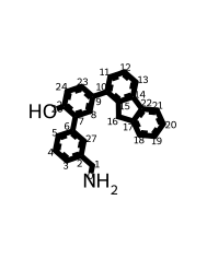 NCc1cccc(-c2cc(-c3cccc4c3Cc3ccccc3-4)ccc2O)c1